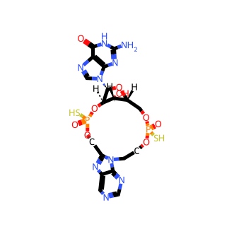 Nc1nc2c(ncn2[C@@H]2O[C@@H]3COP(=O)(S)OCCn4c(nc5cncnc54)COP(=O)(S)O[C@@H]2[C@@H]3O)c(=O)[nH]1